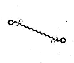 O=C(CCCCCCCCCCCCCCCCC(=O)OCc1ccccc1)OCc1ccccc1